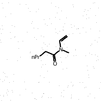 C=CN(C)C(=O)CCCC